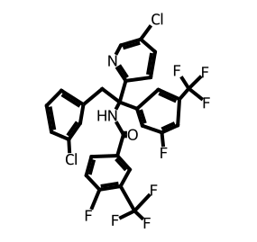 O=C(NC(Cc1cccc(Cl)c1)(c1cc(F)cc(C(F)(F)F)c1)c1ccc(Cl)cn1)c1ccc(F)c(C(F)(F)F)c1